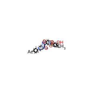 CC(=O)c1ccc(N2CCN(C(=O)c3noc4c3CN(S(=O)(=O)c3ccc(C)c(O)c3)CC4)CC2)cc1